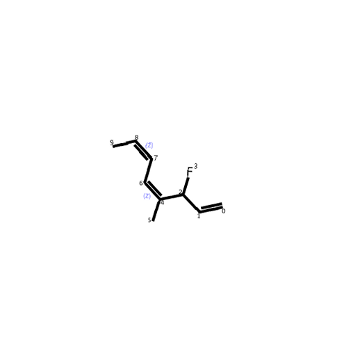 C=CC(F)/C(C)=C\C=C/C